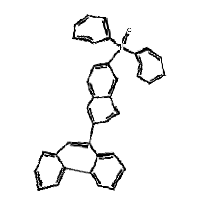 O=P(c1ccccc1)(c1ccccc1)c1ccc2cc(-c3cc4ccccc4c4ccccc34)ccc2c1